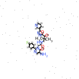 CC(C)(CNC(=O)Cn1c(-c2ccc(F)cc2)ncc(N)c1=O)C(=O)c1nnc(-c2cccnc2)o1